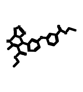 CCOC(=O)C1=C(C)Nc2nnnn2C1c1cccc(Oc2cccc(C(=O)OCC)c2)c1